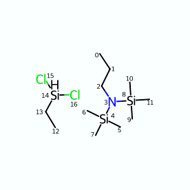 CCCN([Si](C)(C)C)[Si](C)(C)C.CC[SiH](Cl)Cl